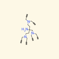 C#CCN(CC#C)CCC(N)(CCN(CC#C)CC#C)CN(CC#C)CC#C